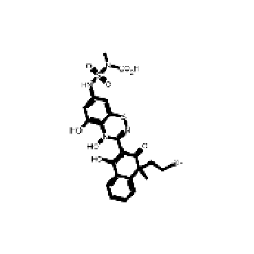 CC(C)CCC1(C)C(=O)C(C2=NSc3cc(NS(=O)(=O)N(C)C(=O)O)cc(O)c3N2O)=C(O)c2ccccc21